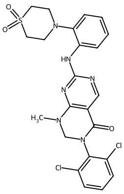 CN1CN(c2c(Cl)cccc2Cl)C(=O)c2cnc(Nc3ccccc3N3CCS(=O)(=O)CC3)nc21